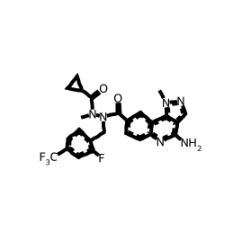 CN(C(=O)C1CC1)N(Cc1ccc(C(F)(F)F)cc1F)C(=O)c1ccc2nc(N)c3cnn(C)c3c2c1